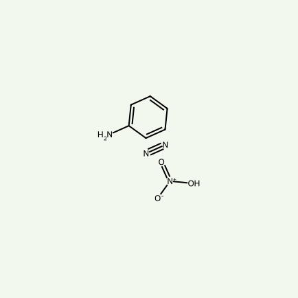 N#N.Nc1ccccc1.O=[N+]([O-])O